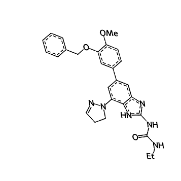 CCNC(=O)Nc1nc2cc(-c3ccc(OC)c(OCc4ccccc4)c3)cc(N3CCC=N3)c2[nH]1